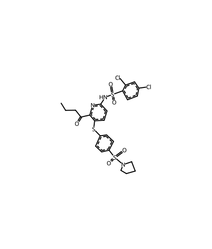 CCCC(=O)c1nc(NS(=O)(=O)c2ccc(Cl)cc2Cl)ccc1Sc1ccc(S(=O)(=O)N2CCCC2)cc1